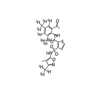 [2H]c1c(C(C)=O)c(NC(=O)c2sccc2S(=O)(=O)Nc2onc(C([2H])([2H])[2H])c2C)c(C([2H])([2H])[2H])c([2H])c1C([2H])([2H])[2H]